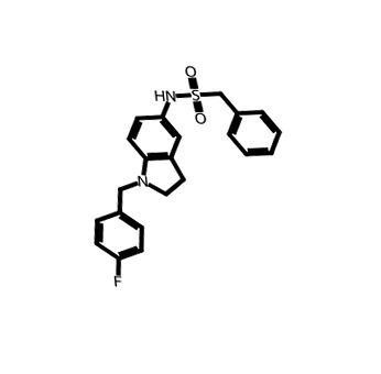 O=S(=O)(Cc1ccccc1)Nc1ccc2c(c1)CCN2Cc1ccc(F)cc1